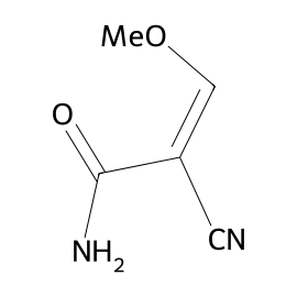 COC=C(C#N)C(N)=O